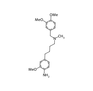 COc1cc(CCCCN(C)Cc2ccc(OC)c(OC)c2)ccc1N